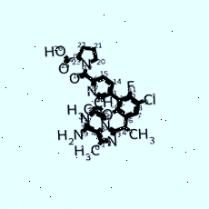 Cc1nc(C(C)c2cc(Cl)c(F)c(-c3ccc(C(=O)N4CCC[C@H]4C(=O)O)nc3)c2OC(C)C)n2ccnc(N)c12